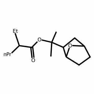 CCCC(CC)C(=O)OC(C)(C)C1CC2CCC1O2